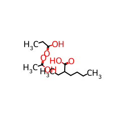 CC(=O)O.CCC(=O)O.CCCCC(CC)C(=O)O